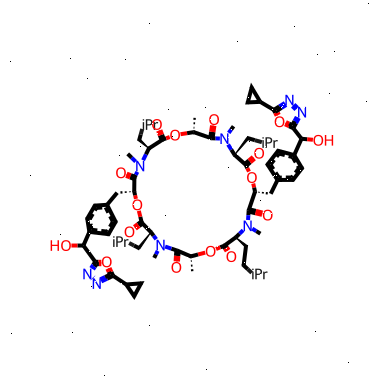 CC(C)CC[C@H]1C(=O)O[C@H](C)C(=O)N(C)[C@@H](CC(C)C)C(=O)O[C@H](Cc2ccc(C(O)c3nnc(C4CC4)o3)cc2)C(=O)N(C)[C@@H](CC(C)C)C(=O)O[C@H](C)C(=O)N(C)[C@@H](CC(C)C)C(=O)O[C@H](Cc2ccc(C(O)c3nnc(C4CC4)o3)cc2)C(=O)N1C